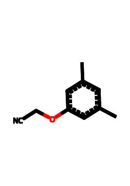 Cc1cc(C)cc(OCC#N)c1